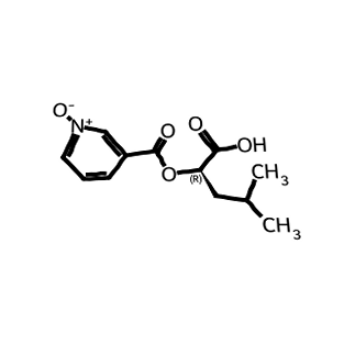 CC(C)C[C@@H](OC(=O)c1ccc[n+]([O-])c1)C(=O)O